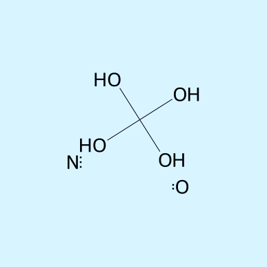 OC(O)(O)O.[N].[O]